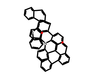 c1ccc(-c2cccc3cccc(-c4ccccc4N(c4cccc(-c5cccc6ccccc56)c4)c4ccccc4-c4cccc5sc6ccccc6c45)c23)cc1